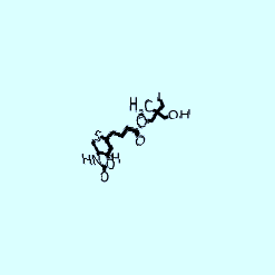 CC(CO)(CI)COC(=O)CCCC1=C[C@H]2OC(=O)NC2CS1